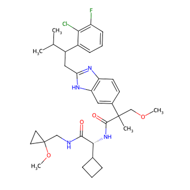 COCC(C)(C(=O)N[C@@H](C(=O)NCC1(OC)CC1)C1CCC1)c1ccc2nc(CC(c3cccc(F)c3Cl)C(C)C)[nH]c2c1